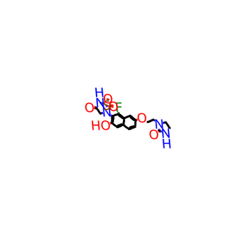 O=C1CN(c2c(O)cc3ccc(OCCN4CCNC4=O)cc3c2F)S(=O)(=O)N1